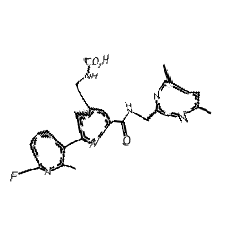 Cc1cc(C)nc(CNC(=O)c2cc(CNC(=O)O)cc(-c3ccc(F)nc3C)n2)n1